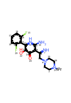 CC(C)N1CCN(CC(=N)c2c(N)[nH]c(-c3c(F)cccc3F)c(O)c2=O)CC1